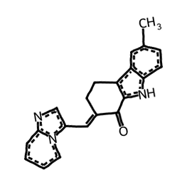 Cc1ccc2[nH]c3c(c2c1)CC/C(=C\c1cnc2ccccn12)C3=O